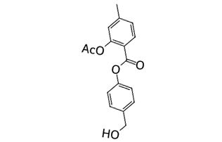 CC(=O)Oc1cc(C)ccc1C(=O)Oc1ccc(CO)cc1